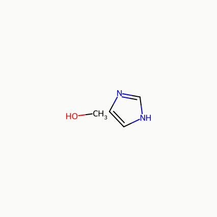 CO.c1c[nH]cn1